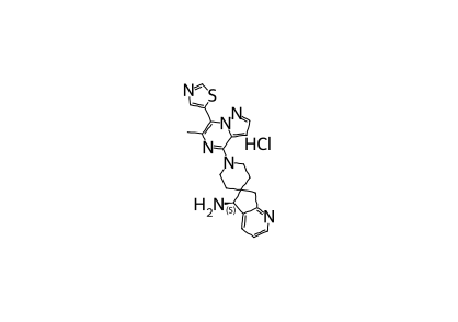 Cc1nc(N2CCC3(CC2)Cc2ncccc2[C@H]3N)c2ccnn2c1-c1cncs1.Cl